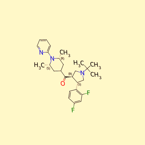 C[C@@H]1CC(C(=O)[C@H]2CN(C(C)(C)C)C[C@@H]2c2ccc(F)cc2F)C[C@H](C)N1c1ccccn1